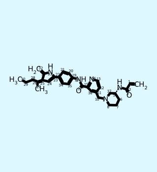 C=CC(=O)N[C@@H]1CCCN(Cc2ccnc(C(=O)Nc3ccc(-c4c/c(=C(\C)CCC)c(=C)[nH]4)cc3)c2)C1